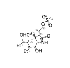 CC/C=C\[C@H](CC)[C@H](O)[C@@H]1NC(=O)[C@H](CCOS(C)(=O)=O)[C@]1(C)OC=O